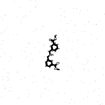 COC(=O)c1cccc(CNCc2cccc(C(=O)OC)c2)c1